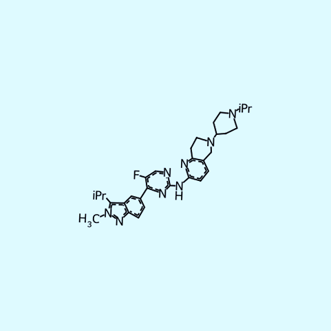 CC(C)c1c2cc(-c3nc(Nc4ccc5c(n4)CCN(C4CCN(C(C)C)CC4)C5)ncc3F)ccc2nn1C